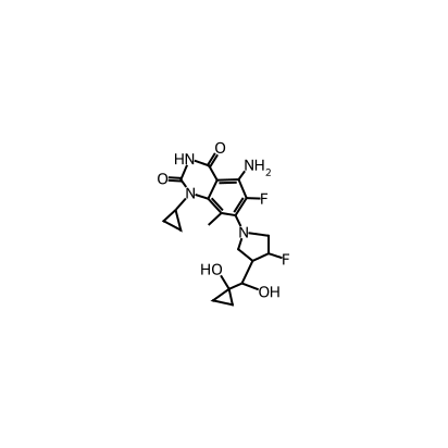 Cc1c(N2CC(F)C(C(O)C3(O)CC3)C2)c(F)c(N)c2c(=O)[nH]c(=O)n(C3CC3)c12